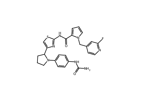 NC(=O)Nc1ccc(N2CCCC2c2csc(NC(=O)c3cccn3Cc3ccnc(F)c3)n2)cc1